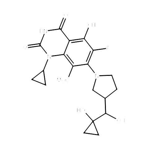 COc1c(N2CCC(C(O)C3(O)CC3)C2)c(F)c(C)c2c(=O)[nH]c(=O)n(C3CC3)c12